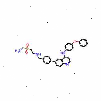 NCS(=O)(=O)CCNCc1ccc(-c2ccc3nccc(Nc4ccc(Oc5ccccc5)cc4)c3c2)cc1